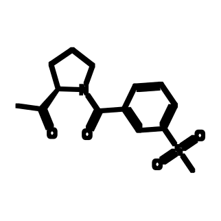 CC(=O)[C@H]1CCCN1C(=O)c1cccc(S(C)(=O)=O)c1